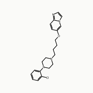 Clc1ccccc1N1CCN(CCCCOc2ccc3nccn3c2)CC1